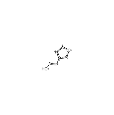 ON=Cc1cocn1